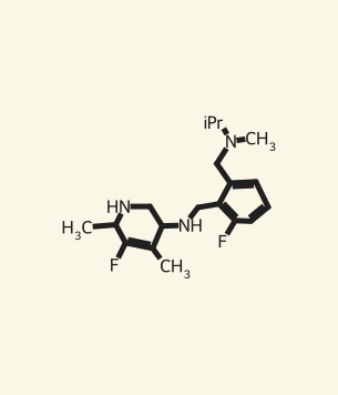 CC1=C(F)C(C)NCC1NCc1c(F)cccc1CN(C)C(C)C